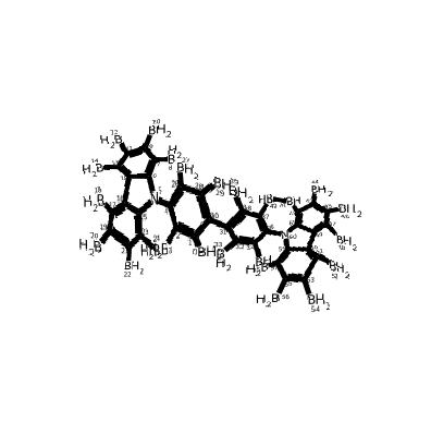 Bc1c(B)c(-n2c3c(B)c(B)c(B)c(B)c3c3c(B)c(B)c(B)c(B)c32)c(B)c(B)c1-c1c(B)c(B)c2c(c1B)BBc1c(B)c(B)c(B)c3c4c(B)c(B)c(B)c(B)c4n-2c13